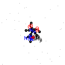 CC(C)(C)c1ccc2c(c1)c1cc(-c3cc4c5c(c3)N(c3ccc(-c6ccccc6)cc3)c3cc(C(=O)OCc6ccccc6)ccc3B5c3ccc(C(=O)OCc5ccccc5)cc3N4c3ccc(-c4ccccc4)cc3)ccc1n2-c1ccc(C#N)cc1-c1nc(-c2ccccc2)nc(-c2ccccc2)n1